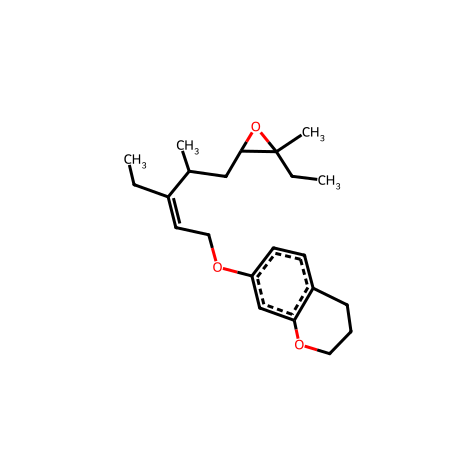 CCC(=CCOc1ccc2c(c1)OCCC2)C(C)CC1OC1(C)CC